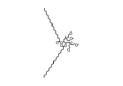 CCCCCCCCC=CCCCCCCCC(=O)OC(C[N+](C)(CCOC)CCOC)C(C[N+](C)(CCOC)CCOC)OC(=O)CCCCCCCC=CCCCCCCCC